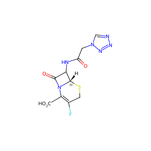 O=C(Cn1cnnn1)NC1C(=O)N2C(C(=O)O)=C(F)CS[C@@H]12